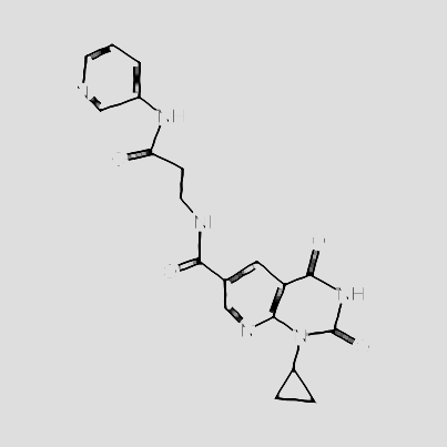 O=C(CCNC(=O)c1cnc2c(c1)c(=O)[nH]c(=O)n2C1CC1)Nc1cccnc1